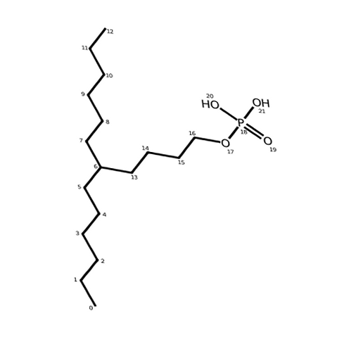 CCCCCCC(CCCCCC)CCCCOP(=O)(O)O